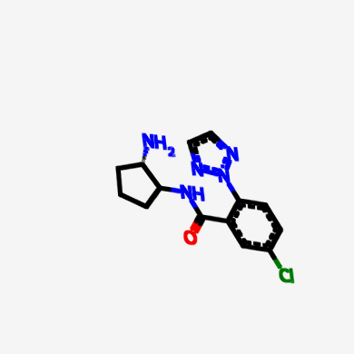 N[C@H]1CCCC1NC(=O)c1cc(Cl)ccc1-n1nccn1